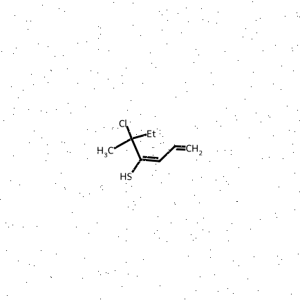 C=C/C=C(/S)C(C)(Cl)CC